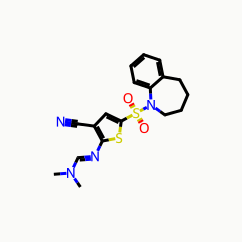 CN(C)C=Nc1sc(S(=O)(=O)N2CCCCc3ccccc32)cc1C#N